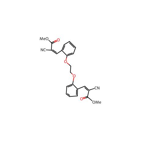 COC(=O)C(C#N)=Cc1ccccc1OCCOc1ccccc1C=C(C#N)C(=O)OC